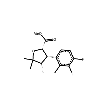 COC(=O)[C@H]1OC(C)(C)[C@@H](C)[C@H]1c1ccc(F)c(F)c1C